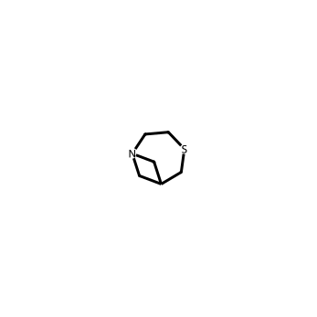 C1CN2CC(CS1)C2